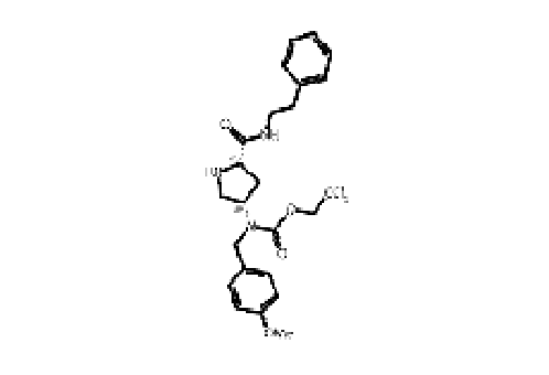 COc1ccc(CN(C(=O)OCC(Cl)(Cl)Cl)[C@@H]2CN[C@H](C(=O)NCCc3ccccc3)C2)cc1